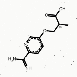 C[C@@H](COc1ccc(C(=N)N)nc1)C(=O)O